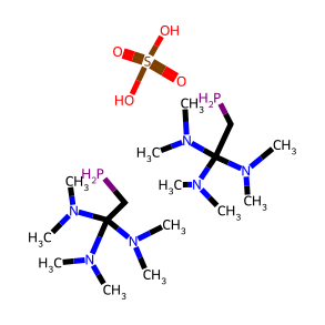 CN(C)C(CP)(N(C)C)N(C)C.CN(C)C(CP)(N(C)C)N(C)C.O=S(=O)(O)O